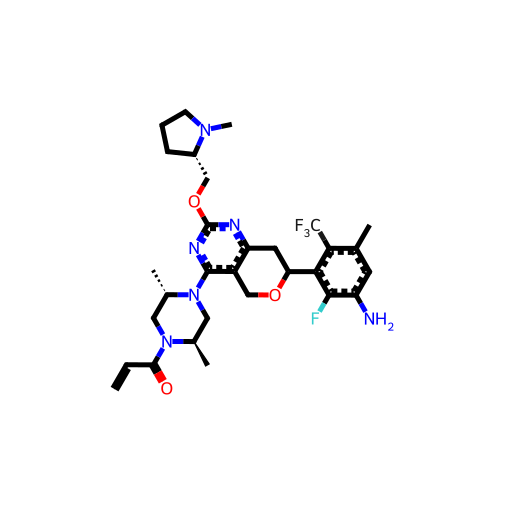 C=CC(=O)N1C[C@H](C)N(c2nc(OC[C@@H]3CCCN3C)nc3c2COC(c2c(F)c(N)cc(C)c2C(F)(F)F)C3)C[C@H]1C